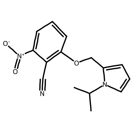 CC(C)n1cccc1COc1cccc([N+](=O)[O-])c1C#N